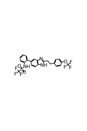 O=S(=O)(Nc1ccccc1-c1ccc2[nH]c(CCc3ccc(OC(F)(F)F)cc3)nc2c1)C(F)(F)F